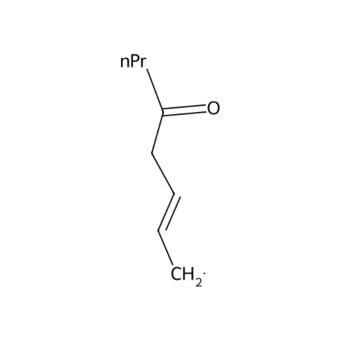 [CH2]C=CCC(=O)CCC